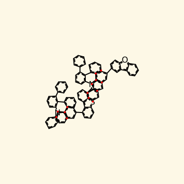 c1ccc(-c2ccccc2-c2c(-c3ccccc3)cccc2N(c2ccccc2)c2ccc(-c3cccc4sc5c(-c6cccc(-c7ccccc7-c7c(-c8ccccc8)cccc7N(c7ccccc7)c7ccc(-c8ccc9oc%10ccccc%10c9c8)cc7)c6)cccc5c34)cc2)cc1